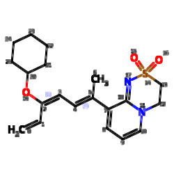 C=C/C(=C\C=C(/C)C1=CC=CN2CCS(=O)(=O)N=C12)OC1CCCCC1